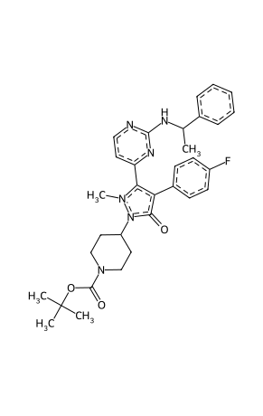 CC(Nc1nccc(-c2c(-c3ccc(F)cc3)c(=O)n(C3CCN(C(=O)OC(C)(C)C)CC3)n2C)n1)c1ccccc1